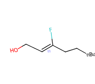 CCCCCC/C(F)=C/CO